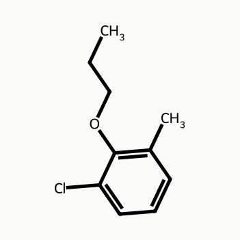 CCCOc1c(C)cccc1Cl